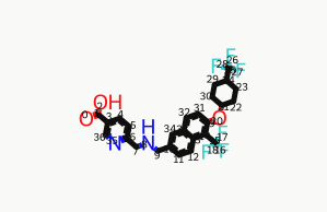 O=C(O)c1ccc(CNCc2ccc3c(C(F)(F)F)c(OC4CCC(C(F)(F)F)CC4)ccc3c2)nc1